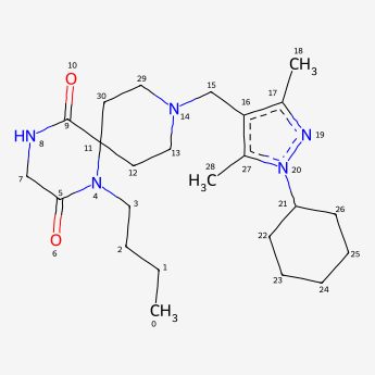 CCCCN1C(=O)CNC(=O)C12CCN(Cc1c(C)nn(C3CCCCC3)c1C)CC2